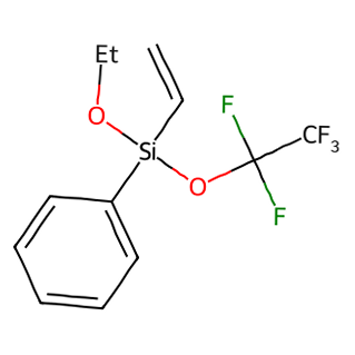 C=C[Si](OCC)(OC(F)(F)C(F)(F)F)c1ccccc1